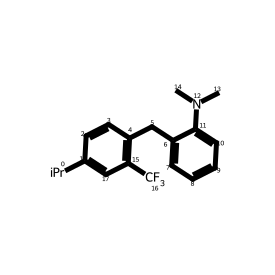 CC(C)c1ccc(Cc2ccccc2N(C)C)c(C(F)(F)F)c1